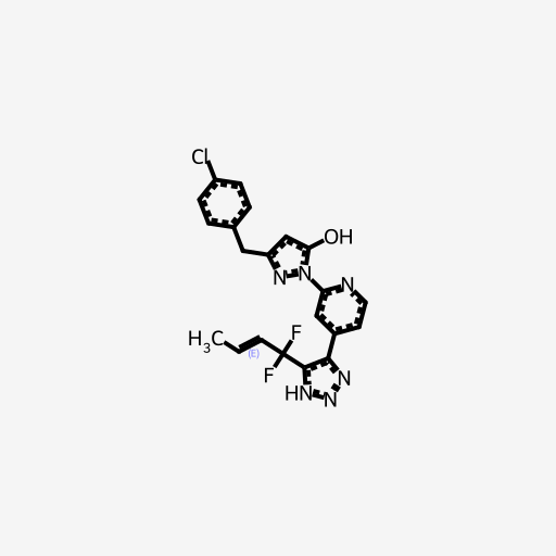 C/C=C/C(F)(F)c1[nH]nnc1-c1ccnc(-n2nc(Cc3ccc(Cl)cc3)cc2O)c1